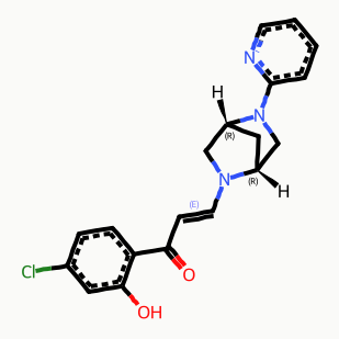 O=C(/C=C/N1C[C@H]2C[C@@H]1CN2c1ccccn1)c1ccc(Cl)cc1O